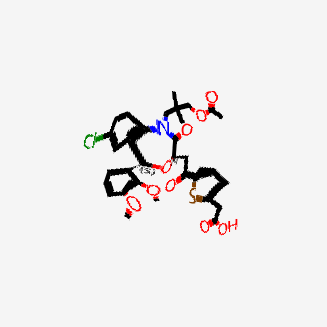 COc1cccc([C@H]2O[C@H](CC(=O)c3ccc(CC(=O)O)s3)C(=O)N(CC(C)(C)COC(C)=O)c3ccc(Cl)cc32)c1OC